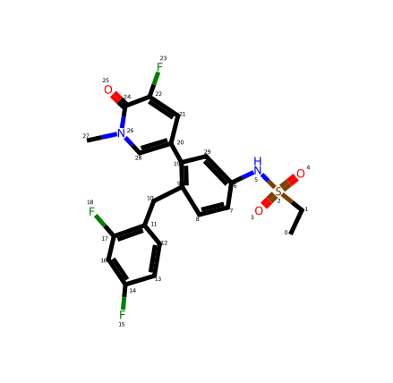 CCS(=O)(=O)Nc1ccc(Cc2ccc(F)cc2F)c(-c2cc(F)c(=O)n(C)c2)c1